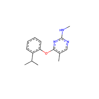 CNc1ncc(C)c(Oc2ccccc2C(C)C)n1